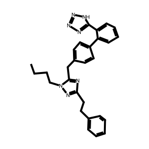 CCCCn1nc(CCc2ccccc2)nc1Cc1ccc(-c2ccccc2-c2nnn[nH]2)cc1